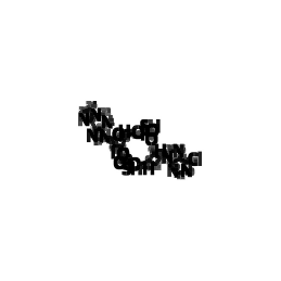 O=P1(S)OC[C@@H]2[C@@H](COP(=O)(S)O[C@H]3C[C@H](n4cnc5c4ncn4ccnc54)O[C@@H]3CO1)C[C@H]2n1cnc2c(Cl)ncnc21